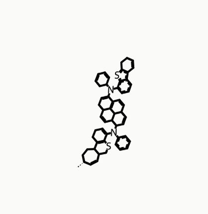 C[C@H]1C=CC2CSC3=C(CCC=C3N(c3ccccc3)C3C=CC4C=CC5=C6C(C=CC3C64)CC=C5N(c3cccc4c5c(sc34)CCC=C5)C3C=CC=CC3)C2CC1